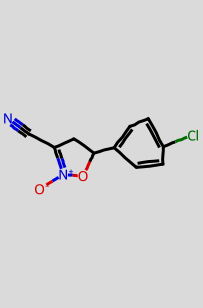 N#CC1=[N+]([O-])OC(c2ccc(Cl)cc2)C1